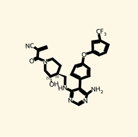 C=C(C#N)C(=O)N1CC[C@@H](CNc2ncnc(N)c2-c2ccc(Oc3cccc(C(F)(F)F)c3)cc2)[C@H](O)C1